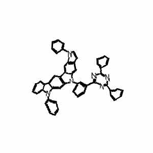 c1ccc(-c2nc(-c3ccccc3)nc(-c3cccc(-n4c5cc6ccn(-c7ccccc7)c6cc5c5cc6c7ccccc7n(-c7ccccc7)c6cc54)c3)n2)cc1